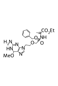 CCOC(=O)[C@H](C)NP(=O)(COCCn1cnc2c1N=C(N)NC2OC)OCc1ccccc1